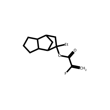 C=C(F)C(=O)OC1(CC)CC2CC1C1CCCC21